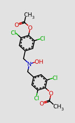 CC(=O)Oc1c(Cl)cc(CN(O)Cc2cc(Cl)c(OC(C)=O)c(Cl)c2)cc1Cl